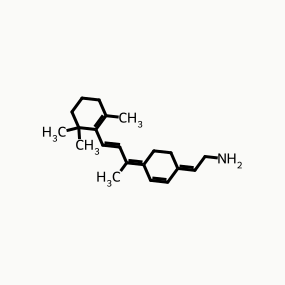 CC1=C(/C=C/C(C)=C2C=C/C(=C/CN)CC/2)C(C)(C)CCC1